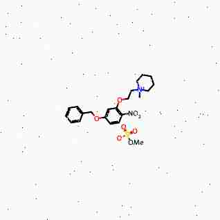 COS(=O)(=O)[O-].C[N+]1(CCOc2cc(OCc3ccccc3)ccc2[N+](=O)[O-])CCCCC1